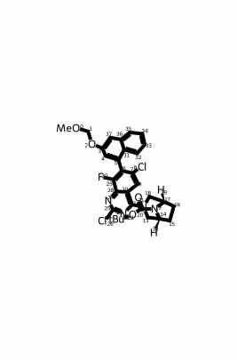 COCOc1cc(-c2c(Cl)cc3c(N4C[C@H]5CC[C@@H](C4)N5C(=O)OC(C)(C)C)nc(Cl)nc3c2F)c2ccccc2c1